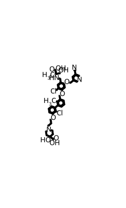 Cc1c(COc2cc(OCc3cncc(C#N)c3)c(CN[C@](C)(CO)C(=O)O)cc2Cl)cccc1-c1cccc(OCCCN2CCC(O)(C(=O)O)CC2)c1Cl